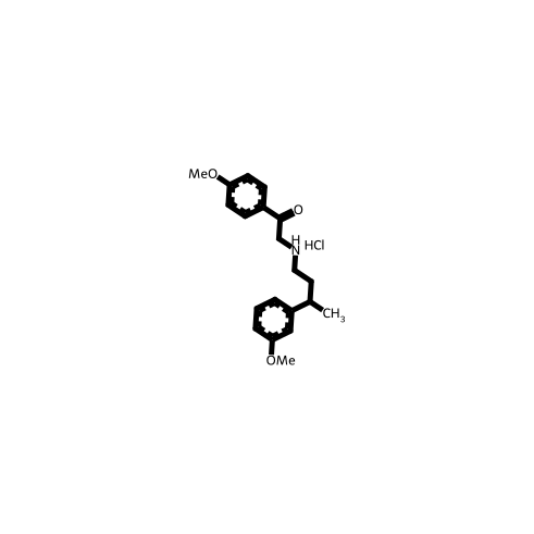 COc1ccc(C(=O)CNCCC(C)c2cccc(OC)c2)cc1.Cl